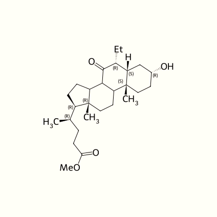 CC[C@H]1C(=O)C2C3CC[C@H]([C@H](C)CCC(=O)OC)[C@@]3(C)CCC2[C@@]2(C)CC[C@@H](O)C[C@@H]12